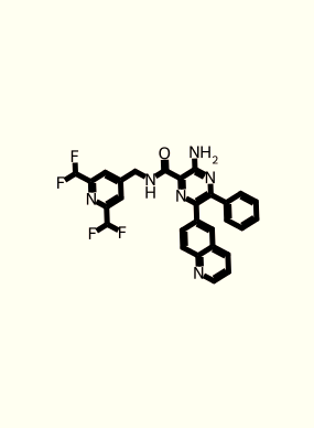 Nc1nc(-c2ccccc2)c(-c2ccc3ncccc3c2)nc1C(=O)NCc1cc(C(F)F)nc(C(F)F)c1